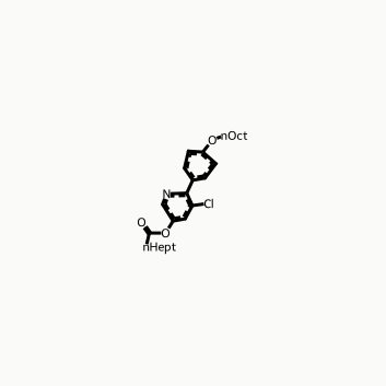 CCCCCCCCOc1ccc(-c2ncc(OC(=O)CCCCCCC)cc2Cl)cc1